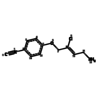 [C-]#[N+]c1ccc(OC/C(Cl)=C/CN)cc1